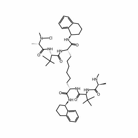 CN[C@@H](C)C(=O)N[C@H](C(=O)N[C@@H](CCCCCC[C@H](NC(=O)[C@@H](NC(=O)[C@H](C)N(C)Cl)C(C)(C)C)C(=O)N[C@@H]1CCCc2ccccc21)C(=O)N[C@@H]1CCCc2ccccc21)C(C)(C)C